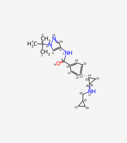 CC(C)(C)n1cc(NC(=O)c2ccc([C@@H]3C[C@H]3NCC3CC3)cc2)cn1